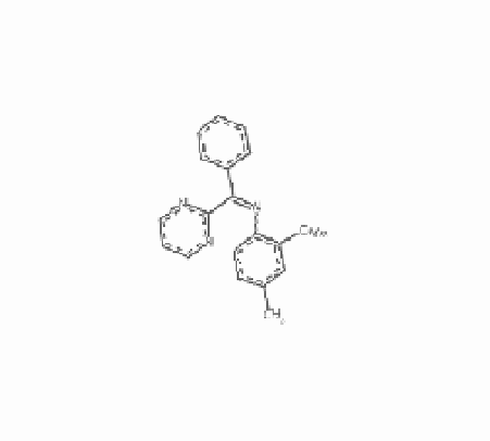 COc1cc(C)ccc1N=C(c1ccccc1)c1ncccn1